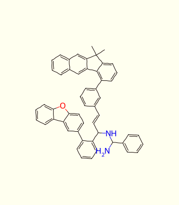 CC1(C)c2cc3ccccc3cc2-c2c(-c3cccc(/C=C/C(NC(N)c4ccccc4)c4ccccc4-c4ccc5oc6ccccc6c5c4)c3)cccc21